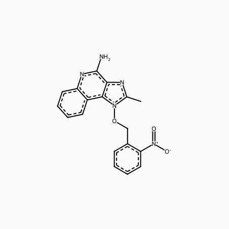 Cc1nc2c(N)nc3ccccc3c2n1OCc1ccccc1[N+](=O)[O-]